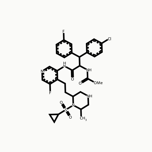 COC(=O)NC(C(=O)Nc1cncc(F)c1CCC1CNCC(C)N1S(=O)(=O)C1CC1)C(c1ccc(Cl)cc1)c1cccc(F)c1